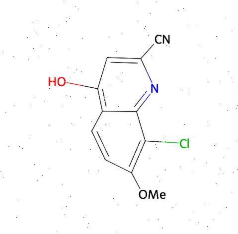 COc1ccc2c(O)cc(C#N)nc2c1Cl